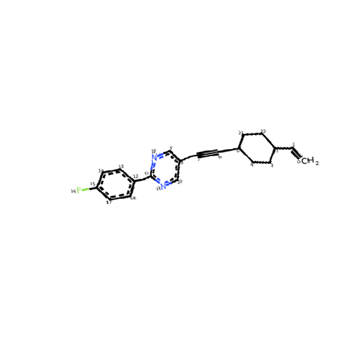 C=CC1CCC(C#Cc2cnc(-c3ccc(F)cc3)nc2)CC1